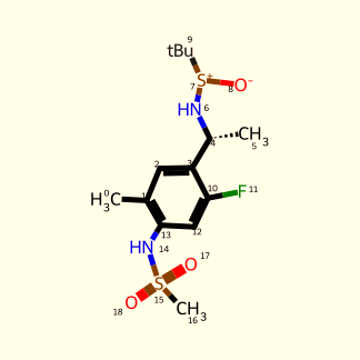 Cc1cc([C@@H](C)N[S+]([O-])C(C)(C)C)c(F)cc1NS(C)(=O)=O